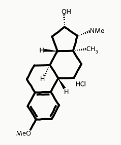 CN[C@H]1[C@@H](O)C[C@H]2[C@@H]3CCc4cc(OC)ccc4[C@H]3CC[C@@]21C.Cl